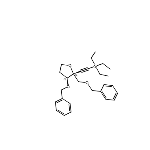 CC[Si](C#C[C@]1(COCc2ccccc2)OCC[C@@H]1OCc1ccccc1)(CC)CC